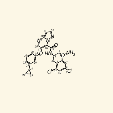 NOCC(Cc1ccc(Cl)cc1Cl)NC(=O)c1c(Oc2cccc(C3CC3)c2)cnc2ccnn12